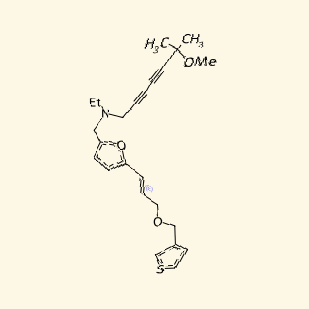 CCN(CC#CC#CC(C)(C)OC)Cc1ccc(/C=C/COCc2ccsc2)o1